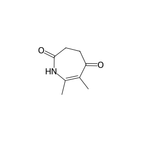 CC1=C(C)C(=O)CCC(=O)N1